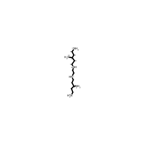 NCCC(N)CCNCCNCCC(N)CCN